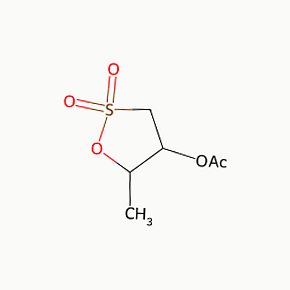 CC(=O)OC1CS(=O)(=O)OC1C